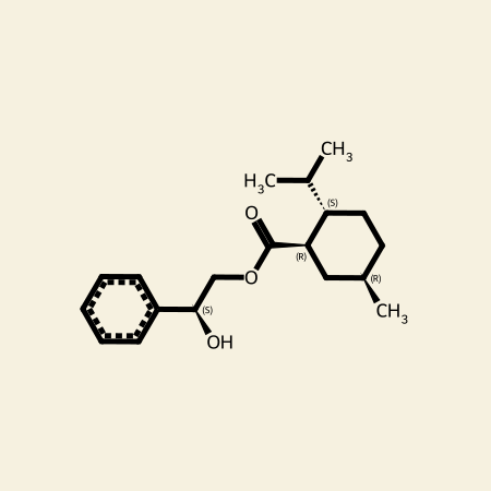 CC(C)[C@@H]1CC[C@@H](C)C[C@H]1C(=O)OC[C@@H](O)c1ccccc1